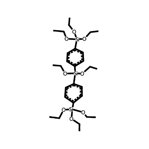 CCO[Si](OCC)(OCC)c1ccc([Si](OCC)(OCC)c2ccc([Si](OCC)(OCC)OCC)cc2)cc1